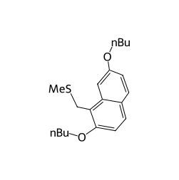 CCCCOc1ccc2ccc(OCCCC)c(CSC)c2c1